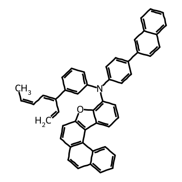 C=C/C(=C\C=C/C)c1cccc(N(c2ccc(-c3ccc4ccccc4c3)cc2)c2cccc3c2oc2ccc4ccc5ccccc5c4c23)c1